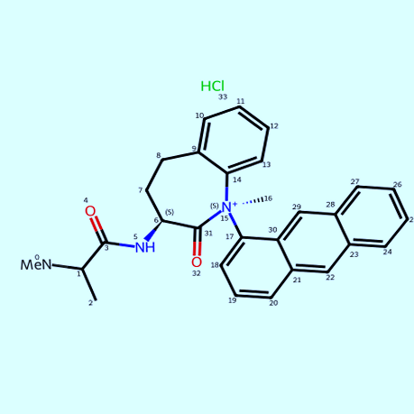 CNC(C)C(=O)N[C@H]1CCc2ccccc2[N@@+](C)(c2cccc3cc4ccccc4cc23)C1=O.Cl